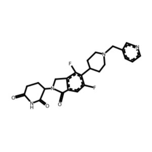 O=C1CCC(N2Cc3c(cc(F)c(C4CCN(Cc5cccnc5)CC4)c3F)C2=O)C(=O)N1